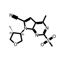 Cc1nc(S(C)(=O)=O)nc2c1cc(C#N)n2[C@H]1COC[C@@H]1C